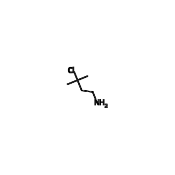 CC(C)(Cl)CCN